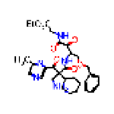 CCOC(=O)CNC(=O)C(=O)C(COCc1ccccc1)NC(=O)C(CN)(C(=O)c1cncc(C)n1)C1CCCCC1